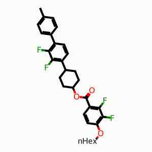 CCCCCCOc1ccc(C(=O)OC2CCC(c3ccc(-c4ccc(C)cc4)c(F)c3F)CC2)c(F)c1F